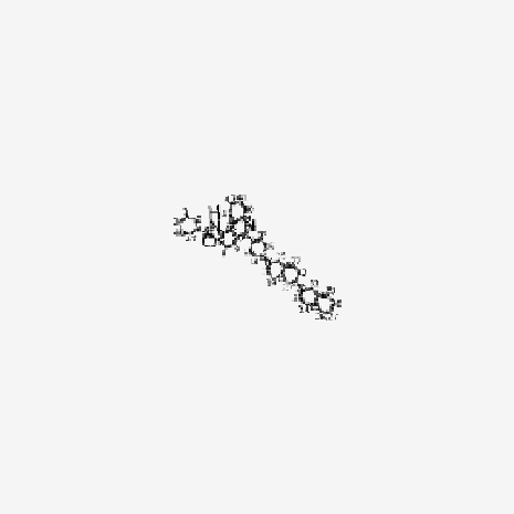 c1ccc(C2Nc3c(ccc4c(-c5ccc(-c6ccc7cc(-c8ccc9ccccc9c8)ccc7c6)cc5)nc5ccccc5c34)O2)cc1